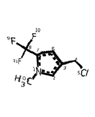 Cn1cc(CCl)cc1C(F)(F)F